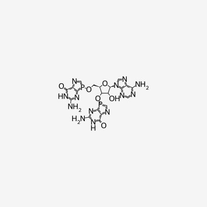 Nc1nc2c(ncp2OC[C@H]2O[C@@H](n3cnc4c(N)ncnc43)C(O)C2Op2cnc3c(=O)[nH]c(N)nc32)c(=O)[nH]1